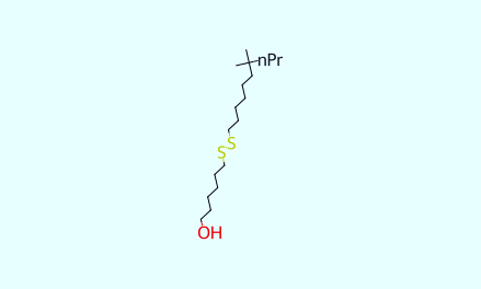 CCCC(C)(C)CCCCCCSSCCCCCCO